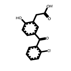 O=C(O)Cc1cc(C(=O)c2ccccc2Cl)ccc1O